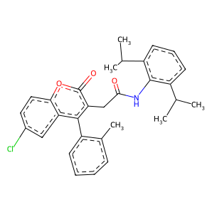 Cc1ccccc1-c1c(CC(=O)Nc2c(C(C)C)cccc2C(C)C)c(=O)oc2ccc(Cl)cc12